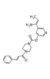 CC=C(N)c1cncc(OC(=O)N2CCN(C(=O)/C=C/c3ccccc3)CC2)c1